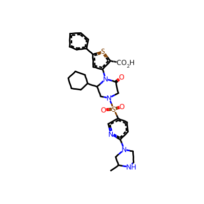 CC1CN(c2ccc(S(=O)(=O)N3CC(=O)N(c4cc(-c5ccccc5)sc4C(=O)O)C(C4CCCCC4)C3)cn2)CCN1